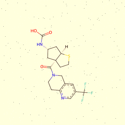 O=C(O)N[C@@H]1C[C@H]2SCC[C@@]2(C(=O)N2CCc3ncc(C(F)(F)F)cc3C2)C1